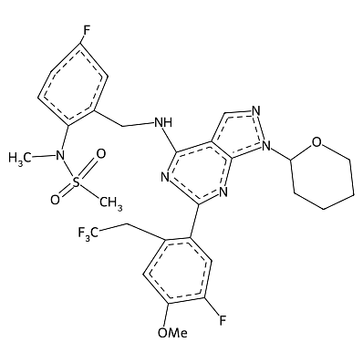 COc1cc(CC(F)(F)F)c(-c2nc(NCc3cc(F)ccc3N(C)S(C)(=O)=O)c3cnn(C4CCCCO4)c3n2)cc1F